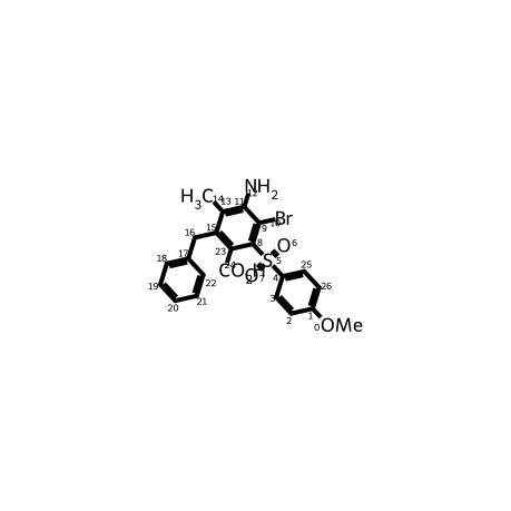 COc1ccc(S(=O)(=O)c2c(Br)c(N)c(C)c(Cc3ccccc3)c2C(=O)O)cc1